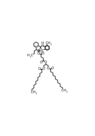 CCCCCCCCCCCC(=O)OCC(COC(=O)CCCCCCCCCCC)OC(=O)CCC(=O)OOC(CCC)N1CCCCC1C(=O)Nc1c(C)cccc1C